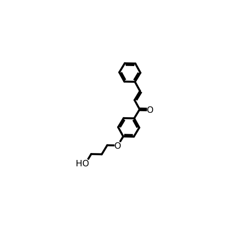 O=C(C=Cc1ccccc1)c1ccc(OCCCO)cc1